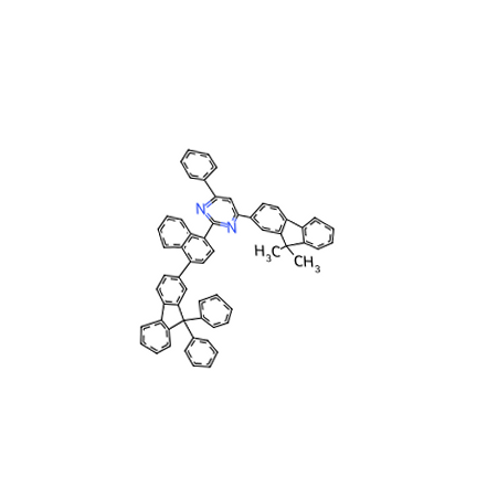 CC1(C)c2ccccc2-c2ccc(-c3cc(-c4ccccc4)nc(-c4ccc(-c5ccc6c(c5)C(c5ccccc5)(c5ccccc5)c5ccccc5-6)c5ccccc45)n3)cc21